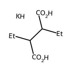 CCC(C(=O)O)C(CC)C(=O)O.[KH]